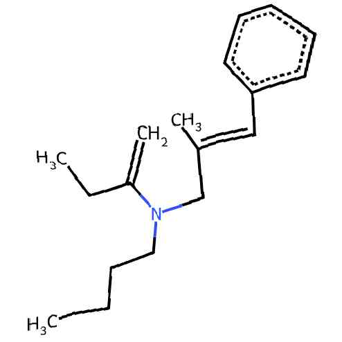 C=C(CC)N(CCCC)C/C(C)=C/c1ccccc1